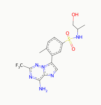 Cc1ccc(S(=O)(=O)NC(C)CO)cc1-c1cnc2c(N)nc(C(F)(F)F)nn12